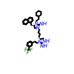 N=C1NC[C@H](CCCCN2C[C@@H](Cc3cccc4ccccc34)N(CCC3CCCCC3)C2=N)N1CCc1cccc(C(F)(F)F)c1